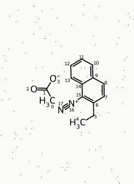 CC(=O)[O-].CCc1ccc2ccccc2c1[N+]#N